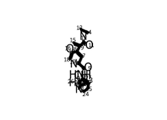 C[C@H]1[C@H](NC(=O)c2cc3c(C(=O)N4CC4)coc3cn2)C2CCN1CC2